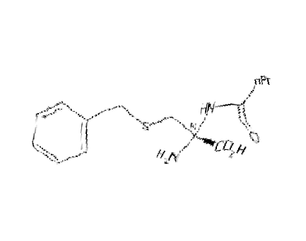 CCCC(=O)N[C@](N)(CSCc1ccccc1)C(=O)O